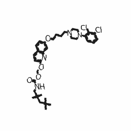 CC(C)(C)CC(C)(C)CNC(=O)OCOc1ccc2ccc(OCCCCN3CCN(c4cccc(Cl)c4Cl)CC3)cc2n1